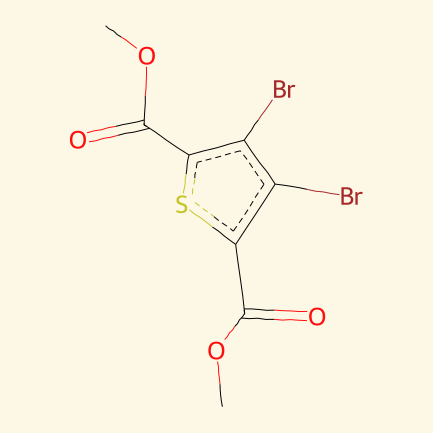 COC(=O)c1sc(C(=O)OC)c(Br)c1Br